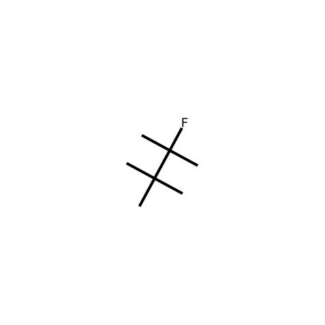 CC(C)(C)C(C)(C)F